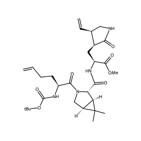 C=CCC[C@H](NC(=O)OC(C)(C)C)C(=O)N1C[C@H]2[C@@H]([C@H]1C(=O)N[C@@H](C[C@@H]1C(=O)NC[C@@H]1C=C)C(=O)OC)C2(C)C